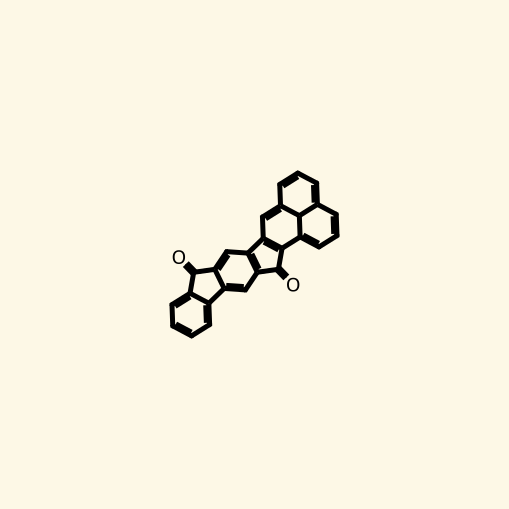 O=c1c2c(c3cc4c(=O)c5ccccc5c4cc13)C=C1C=CC=C3C=CC=C2C31